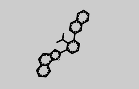 CC(C)c1c(-c2ccc3ccccc3c2)cccc1-c1cc2ccc3ccccc3c2s1